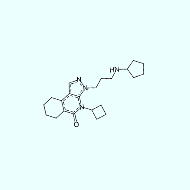 O=c1c2c(c3cnn(CCCNC4CCCC4)c3n1C1CCC1)CCCC2